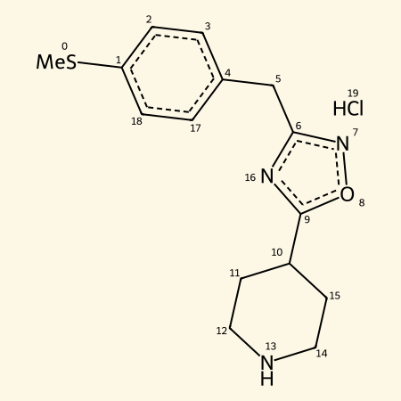 CSc1ccc(Cc2noc(C3CCNCC3)n2)cc1.Cl